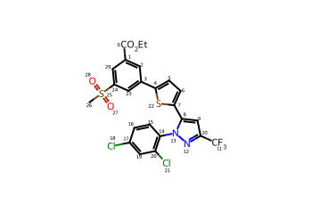 CCOC(=O)c1cc(-c2ccc(-c3cc(C(F)(F)F)nn3-c3ccc(Cl)cc3Cl)s2)cc(S(C)(=O)=O)c1